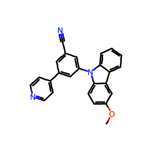 COc1ccc2c(c1)c1ccccc1n2-c1cc(C#N)cc(-c2ccncc2)c1